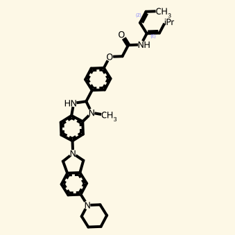 C/C=C\C(=C/C(C)C)NC(=O)COc1ccc(C2Nc3ccc(N4Cc5ccc(N6CCCCC6)cc5C4)cc3N2C)cc1